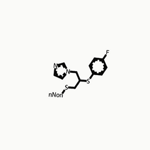 CCCCCCCCCSCC(Cn1ccnc1)Sc1ccc(F)cc1